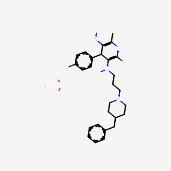 CCC1=C(N(C=O)CCCN2CCC(Cc3ccccc3)CC2)C(c2ccc([N+](=O)[O-])cc2)C(NC=O)=C(C)N1.CCOCC.Cl.O